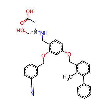 Cc1c(COc2ccc(CN[C@H](CO)CC(=O)O)c(OCc3cccc(C#N)c3)c2)cccc1-c1ccccc1